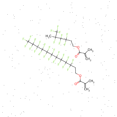 C=C(C)C(=O)OCCC(F)(F)C(F)(F)C(C)(F)C(F)(F)F.C=C(C)C(=O)OCCC(F)(F)C(F)(F)C(F)(F)C(F)(F)C(F)(F)C(F)(F)C(F)(F)C(F)(F)C(F)(F)C(F)(F)F